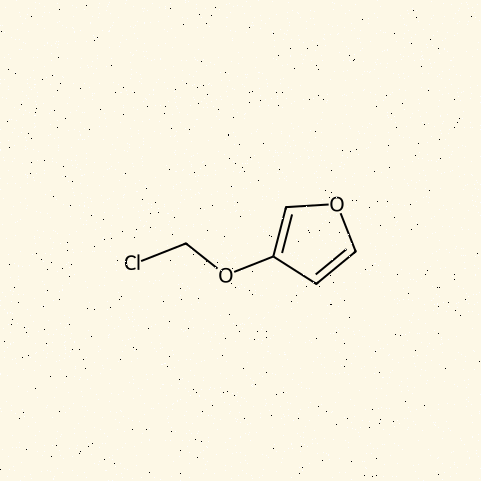 ClCOc1ccoc1